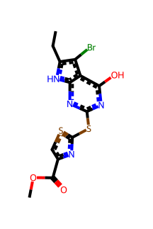 CCc1[nH]c2nc(Sc3nc(C(=O)OC)cs3)nc(O)c2c1Br